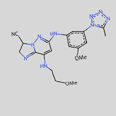 COCCNC1=CC(Nc2cc(OC)cc(-n3nnnc3C)c2)=NN2C1=NCC2C#N